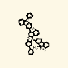 CC1C=CC(C2CC=CCC2)CC1N(C1=CCC2C(=C1)C(C)(C)C1=C2C=CCC1)C1=CCC(C2=CC3C4C=CC=CC4N(C4=CC=CCC4)C3C=C2)C2C(C)CC=CC12